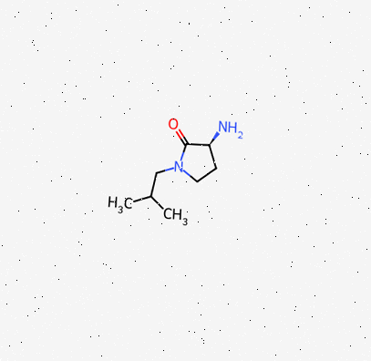 CC(C)CN1CC[C@H](N)C1=O